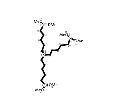 CO[SiH](CCCCC[SiH](CCCCC[SiH](OC)OC)CCCCC[SiH](OC)OC)OC